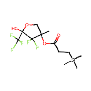 CC1(OC(=O)CC[Si](C)(C)C)COC(O)(C(F)(F)F)C1(F)F